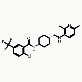 Cc1ccc(NC[C@H]2CC[C@H](NC(=O)c3cc(C(F)(F)F)ccc3Cl)CC2)c(C)n1